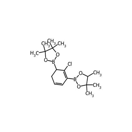 CC1OB(C2=C(Cl)C(B3OC(C)(C)C(C)(C)O3)CC=C2)OC1(C)C